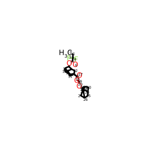 CCC(F)(F)C(=O)OC1C2CC3CC1CC(C(=O)OCOC1C4CC5CC(C4)CC1C5)(C3)C2